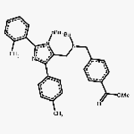 CCCCN(Cc1ccc(C(=O)OC)cc1)Cc1c(-c2ccc(C)cc2)nc(-c2ccccc2C)n1CCCC